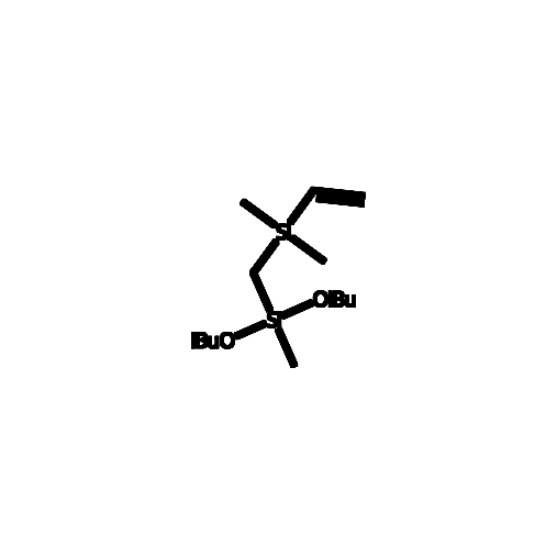 C=C[Si](C)(C)C[Si](C)(OCC(C)C)OCC(C)C